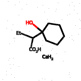 CCC(C(=O)O)C1(O)CCCCC1.[CaH2]